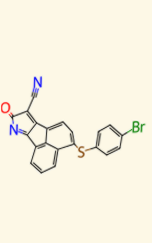 N#CC1=C2C(=NC1=O)c1cccc3c(Sc4ccc(Br)cc4)ccc2c13